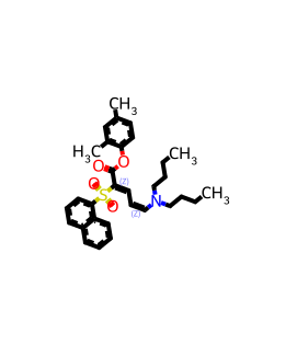 CCCCN(/C=C\C=C(\C(=O)Oc1ccc(C)cc1C)S(=O)(=O)c1cccc2ccccc12)CCCC